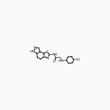 O=C(CNc1ccc(Cl)cc1)Nc1nc2ccc3[nH]ncc3c2s1